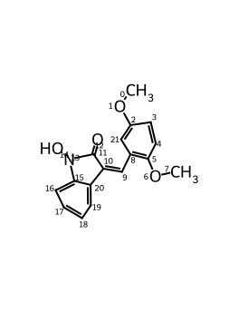 COc1ccc(OC)c(C=C2C(=O)N(O)c3ccccc32)c1